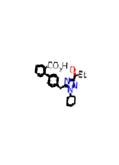 CCC(=O)c1nc(Cc2ccc(-c3ccccc3C(=O)O)cc2)n(C2CCCCC2)n1